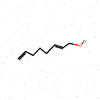 C=CCCCC=CCOCC